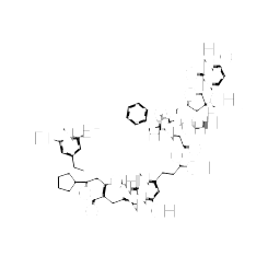 CCc1cc(CC[C@]2(C3CCCC3)CC(O)=C(Cc3nc4nc(CCC(C)OC(=O)[C@H](C)N[P@](=O)(OC[C@H]5O[C@@H](n6ccc(=O)[nH]c6=O)[C@](C)(F)[C@@H]5O)Oc5ccccc5)cc(C)n4n3)C(=O)O2)cc(CC)n1